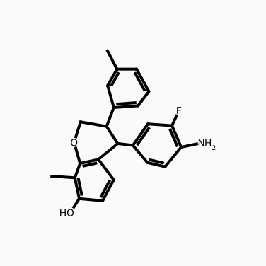 Cc1cccc(C2COc3c(ccc(O)c3C)C2c2ccc(N)c(F)c2)c1